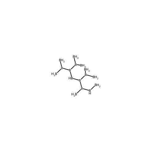 BBB(B)B(BB(B(B)B)B(B)B)B(B)B